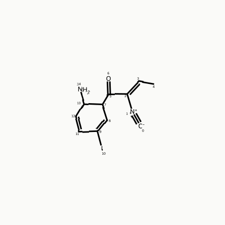 [C-]#[N+]/C(=C\C)C(=O)C1C=C(I)C=CC1N